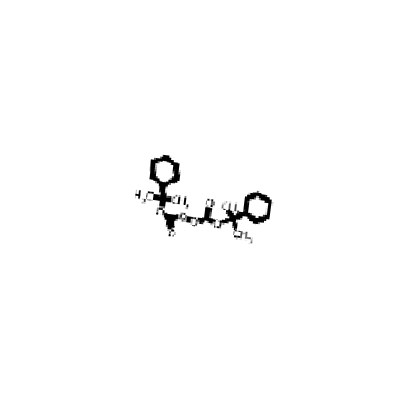 CC(C)(OC(=O)OOC(=O)OC(C)(C)C1CCCCC1)C1CCCCC1